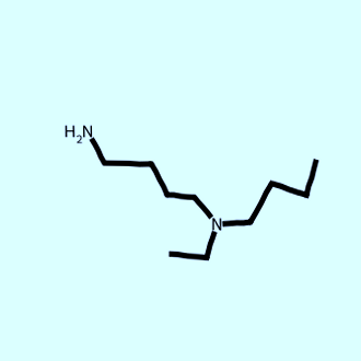 CCCCN(CC)CCCCN